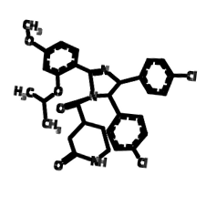 COc1ccc(C2=NC(c3ccc(Cl)cc3)C(c3ccc(Cl)cc3)N2C(=O)C2CCNC(=O)C2)c(OC(C)C)c1